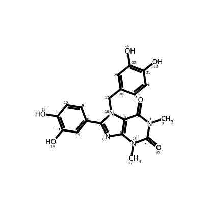 Cn1c(=O)c2c(nc(-c3ccc(O)c(O)c3)n2Cc2ccc(O)c(O)c2)n(C)c1=O